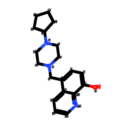 Oc1ccc(CN2CCN(C3CCCC3)CC2)c2cccnc12